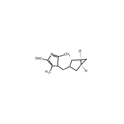 CC1=NC(C=O)=C(C)C1CN1C[C@H]2C[C@H]2C1